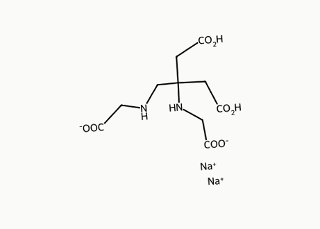 O=C([O-])CNCC(CC(=O)O)(CC(=O)O)NCC(=O)[O-].[Na+].[Na+]